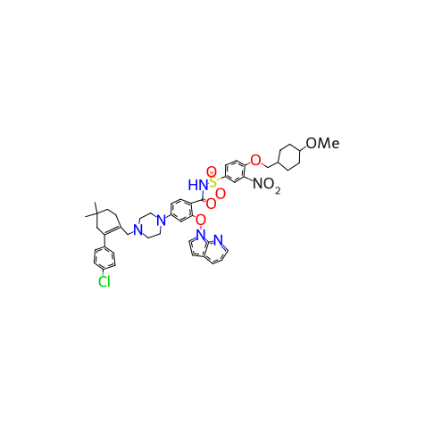 COC1CCC(COc2ccc(S(=O)(=O)NC(=O)c3ccc(N4CCN(CC5=C(c6ccc(Cl)cc6)CC(C)(C)CC5)CC4)cc3On3ccc4cccnc43)cc2[N+](=O)[O-])CC1